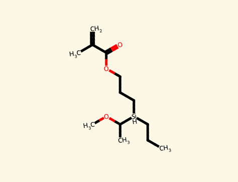 C=C(C)C(=O)OCCC[SiH](CCC)C(C)OC